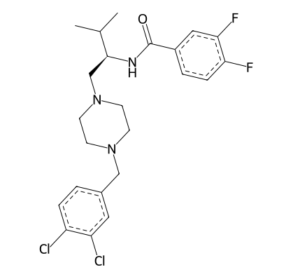 CC(C)[C@H](CN1CCN(Cc2ccc(Cl)c(Cl)c2)CC1)NC(=O)c1ccc(F)c(F)c1